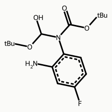 CC(C)(C)OC(=O)N(c1ccc(F)cc1N)C(O)OC(C)(C)C